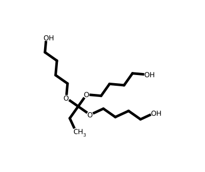 CCC(OCCCCO)(OCCCCO)OCCCCO